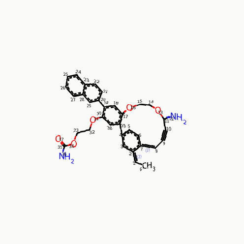 C/C=c1/cc2cc/c1=C/C#CC(N)OCCOc1cc(-c3ccc4ccccc4c3)c(OCCOC(N)=O)cc1-2